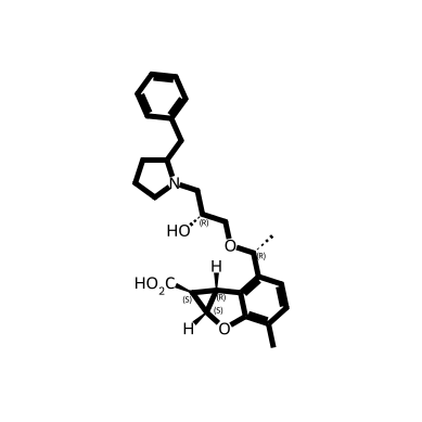 Cc1ccc([C@@H](C)OC[C@H](O)CN2CCCC2Cc2ccccc2)c2c1O[C@@H]1[C@@H](C(=O)O)[C@H]21